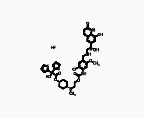 COc1cc(NC(=O)OCCN(C)[C@H]2CC[C@H](OC(=O)C(O)(c3cccs3)c3cccs3)CC2)c(Cl)cc1CNC[C@H](O)c1cc(O)c2[nH]c(=O)ccc2c1.F